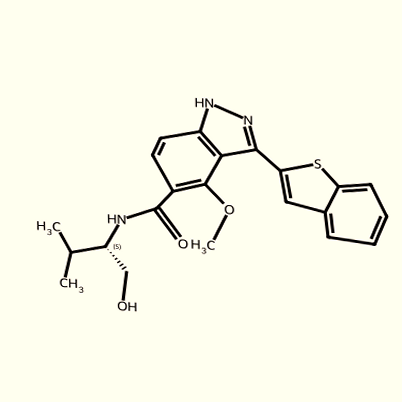 COc1c(C(=O)N[C@H](CO)C(C)C)ccc2[nH]nc(-c3cc4ccccc4s3)c12